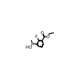 CCOC(=O)c1cccc(B(C)O)c1F